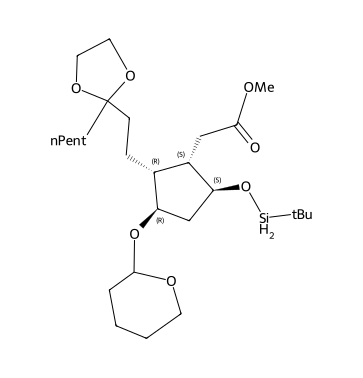 CCCCCC1(CC[C@@H]2[C@H](CC(=O)OC)[C@@H](O[SiH2]C(C)(C)C)C[C@H]2OC2CCCCO2)OCCO1